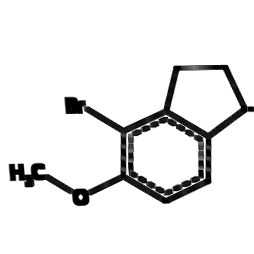 COc1ccc2c(c1Br)CC[CH]2